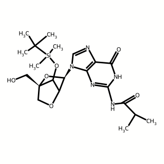 CC(C)C(=O)Nc1nc2c(ncn2[C@@H]2O[C@@]3(CO)COC2C3O[Si](C)(C)C(C)(C)C)c(=O)[nH]1